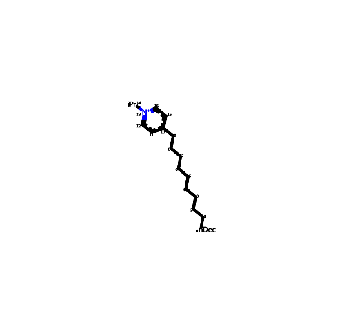 CCCCCCCCCCCCCCCCCCCc1cc[n+](C(C)C)cc1